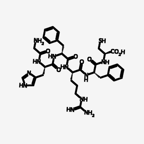 N=C(N)NCCC[C@H](NC(=O)[C@@H](Cc1ccccc1)NC(=O)[C@H](Cc1c[nH]cn1)NC(=O)CN)C(=O)N[C@@H](Cc1ccccc1)C(=O)N[C@@H](CS)C(=O)O